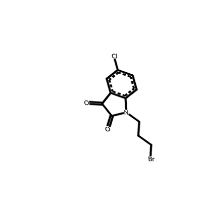 O=C1C(=O)N(CCCBr)c2ccc(Cl)cc21